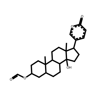 CC12CCC(OC=O)CC1CCC1C2CCC2(C)C(c3ccc(=O)oc3)CCC12O